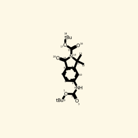 CC(C)(C)OC(=O)Nc1ccc2c(c1)C(C)(C)N(C(=O)OC(C)(C)C)C2=O